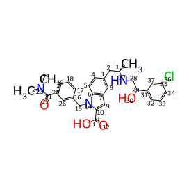 C[C@H](Cc1ccc2c(c1)cc(C(=O)O)n2Cc1cccc(C(=O)N(C)C)c1)NC[C@H](O)c1cccc(Cl)c1